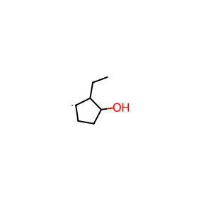 CCC1[CH]CCC1O